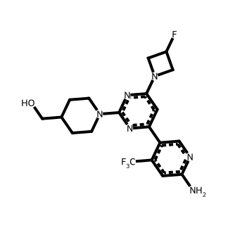 Nc1cc(C(F)(F)F)c(-c2cc(N3CC(F)C3)nc(N3CCC(CO)CC3)n2)cn1